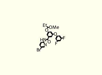 CCC(OC)Oc1cc(Oc2cc(F)cc(F)c2)cc(C(=O)Nc2ccc(Br)cn2)c1